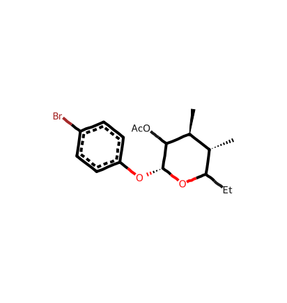 CCC1O[C@H](Oc2ccc(Br)cc2)C(OC(C)=O)[C@@H](C)[C@@H]1C